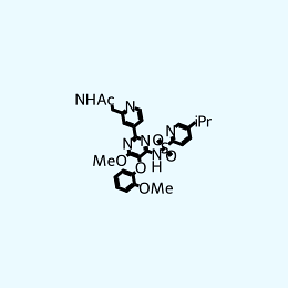 COc1ccccc1Oc1c(NS(=O)(=O)c2ccc(C(C)C)cn2)nc(-c2ccnc(CNC(C)=O)c2)nc1OC